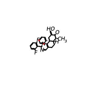 C[C@@H]1C(=O)/C(=C\O)C[C@]2(c3ccccc3)c3nc(-c4c(F)cccc4F)ncc3CC[C@@H]12